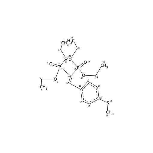 CCOP(=O)(OCC)C(=Cc1ccc(SC)cc1)P(=O)(OCC)OCC